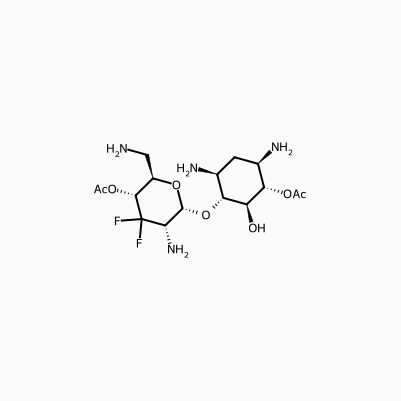 CC(=O)O[C@@H]1[C@@H](O)[C@H](O[C@H]2O[C@H](CN)[C@@H](OC(C)=O)C(F)(F)[C@H]2N)[C@@H](N)C[C@H]1N